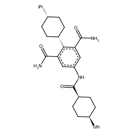 CCC[C@H]1CC[C@@H](C(=O)Nc2cc(C(N)=O)c([C@H]3CC[C@@H](C(C)C)CC3)c(C(N)=O)c2)CC1